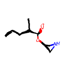 C=CCC(C)C(=O)OC1CN1